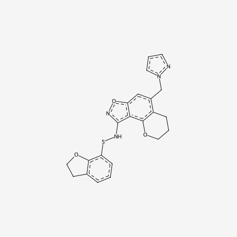 c1cc2c(c(SNc3noc4cc(Cn5cccn5)c5c(c34)OCCC5)c1)OCC2